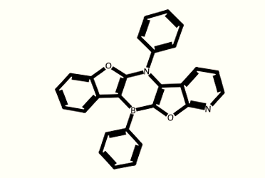 c1ccc(B2c3oc4ncccc4c3N(c3ccccc3)c3oc4ccccc4c32)cc1